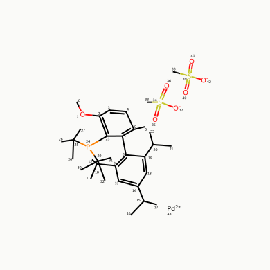 COc1ccc(C)c(-c2c(C(C)C)cc(C(C)C)cc2C(C)C)c1P(C(C)(C)C)C(C)(C)C.CS(=O)(=O)[O-].CS(=O)(=O)[O-].[Pd+2]